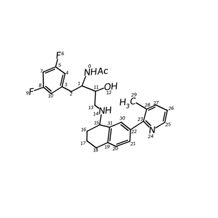 CC(=O)NC(Cc1cc(F)cc(F)c1)C(O)CNC1CCCc2ccc(-c3ncccc3C)cc21